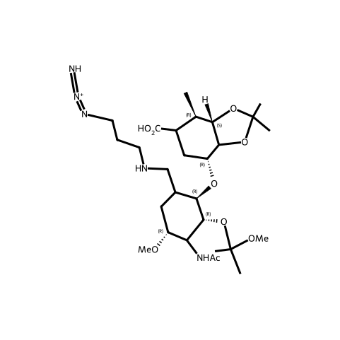 CO[C@@H]1CC(CNCCCN=[N+]=N)[C@@H](O[C@@H]2CC(C(=O)O)[C@@H](C)[C@@H]3OC(C)(C)OC32)[C@H](OC(C)(C)OC)C1NC(C)=O